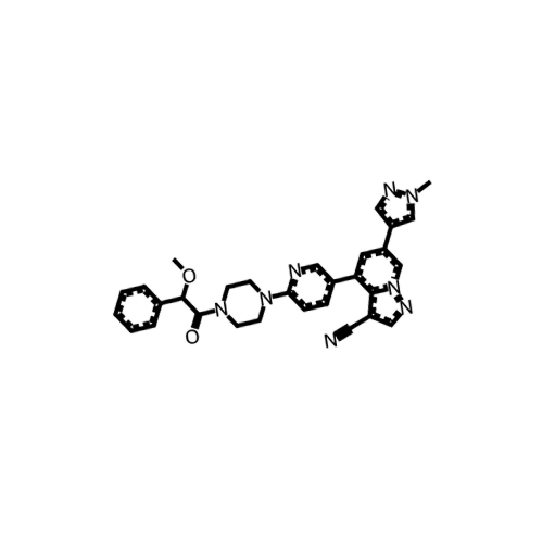 COC(C(=O)N1CCN(c2ccc(-c3cc(-c4cnn(C)c4)cn4ncc(C#N)c34)cn2)CC1)c1ccccc1